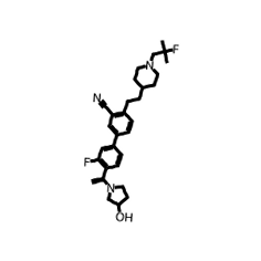 C=C(c1ccc(-c2ccc(CCC3CCN(CC(C)(C)F)CC3)c(C#N)c2)cc1F)N1CCC(O)C1